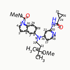 CNC(=O)n1ccc2cc(N(CCC(C)(C)OC)c3ccnc(NC(=O)C4CC4)c3)ccc21